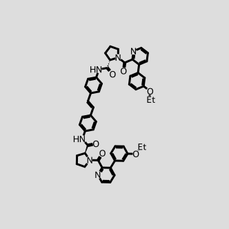 CCOc1cccc(-c2cccnc2C(=O)N2CCC[C@H]2C(=O)Nc2ccc(/C=C/c3ccc(NC(=O)[C@@H]4CCCN4C(=O)c4ncccc4-c4cccc(OCC)c4)cc3)cc2)c1